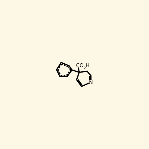 O=C(O)C1(c2ccccc2)C=CN=CC1